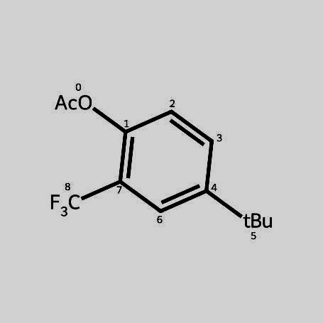 CC(=O)Oc1ccc(C(C)(C)C)cc1C(F)(F)F